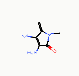 C=C1C(N)=C(N)C(=O)N1C